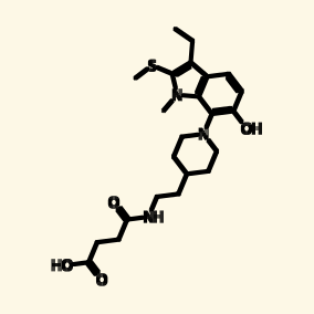 CCc1c(SC)n(C)c2c(N3CCC(CCNC(=O)CCC(=O)O)CC3)c(O)ccc12